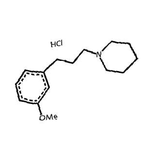 COc1cccc(CCCN2CCCCC2)c1.Cl